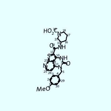 COc1ccc(CN2C(=O)Nc3c(C(=O)NC4CCCN(C(=O)O)C4)sc4nccc2c34)cc1